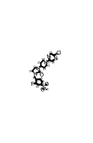 CS(=O)(=O)c1ccc(CN2CCN(C3CCN(c4cnc(Cl)cn4)CC3)C2=O)c(F)c1